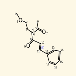 COCCN(C(C)=O)C(=O)/C=C/c1ccccc1